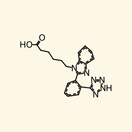 O=C(O)CCCCCn1c(-c2ccccc2-c2nn[nH]n2)nc2ccccc21